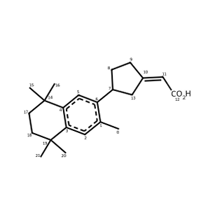 Cc1cc2c(cc1C1CCC(=CC(=O)O)C1)C(C)(C)CCC2(C)C